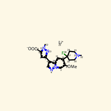 COc1cn2ncc(-c3cc(C(=O)[O-])n(C)n3)c2cc1C1(F)CCN(C)CC1.[Li+]